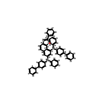 c1ccc(-c2ccc(N(c3ccccc3)c3cc(N(c4ccccc4)c4ccc(-c5ccccc5)cc4)c4c(ccc5nc(-c6ccccc6)oc54)c3)cc2)cc1